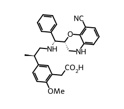 COc1ccc([C@@H](C)CN[C@H](c2ccccc2)[C@H]2CNc3cccc(C#N)c3O2)cc1CC(=O)O